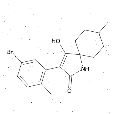 Cc1ccc(Br)cc1C1=C(O)C2(CCC(C)CC2)NC1=O